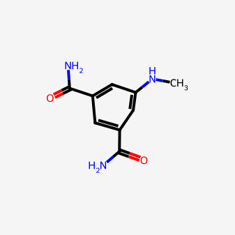 CNc1cc(C(N)=O)cc(C(N)=O)c1